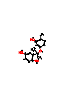 CC(C)c1ccc(OC(C)(C)c2cc(O)ccc2O)cc1O